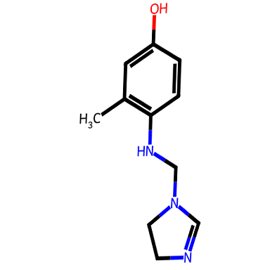 Cc1cc(O)ccc1NCN1C=NCC1